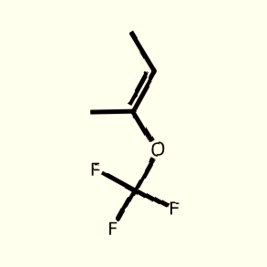 C/C=C(\C)OC(F)(F)F